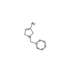 CC(=O)C1=CCN(Cc2ccccc2)C1